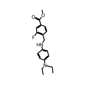 CCN(CC)c1ccc(NCc2ccc(C(=O)OC)cc2F)cc1